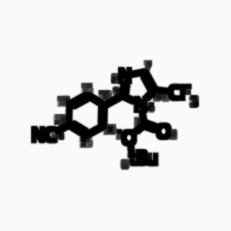 CC(C)(C)OC(=O)n1c(C(F)(F)F)cnc1-c1ccc(C#N)cc1